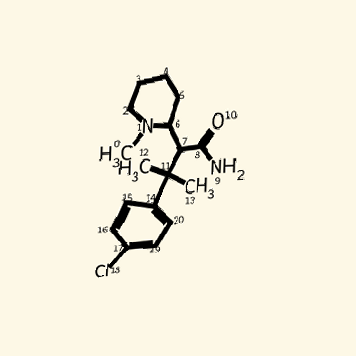 CN1CCCCC1C(C(N)=O)C(C)(C)c1ccc(Cl)cc1